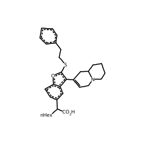 CCCCCCC(C(=O)O)c1ccc2oc(SCCc3ccccc3)c(C3=CCN4CCCCC4C3)c2c1